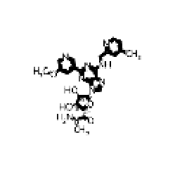 COc1cncc(-c2nc(NCc3cc(C)ccn3)c3ncn([C@@H]4O[C@H](C(=O)N(C)N)[C@@H](O)[C@H]4O)c3n2)c1